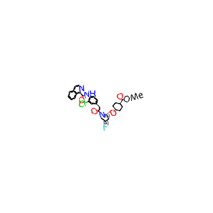 COC(=O)[C@H]1CC[C@H](OC[C@@H]2C[C@H](F)CN2C(=O)Cc2ccc(NC(=O)c3nccc4ccccc34)c(Cl)c2)CC1